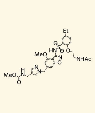 CCc1ccc(OCCNC(C)=O)c(S(=O)(=O)Nc2noc3cc(Cn4cc(CNC(=O)OC)cn4)cc(OC)c23)c1